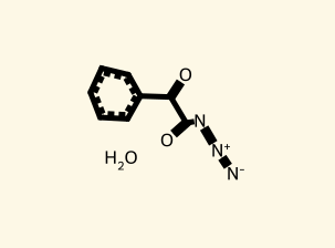 O.[N-]=[N+]=NC(=O)C(=O)c1ccccc1